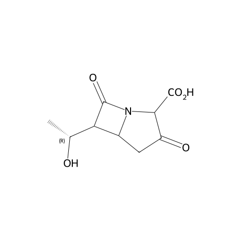 C[C@@H](O)C1C(=O)N2C(C(=O)O)C(=O)CC12